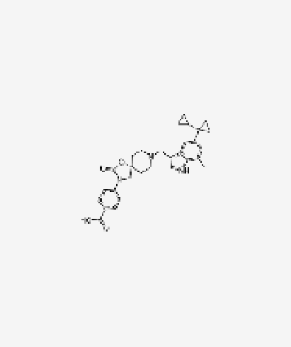 Cc1cc(C2(C3CC3)CC2)cc2c(CN3CCC4(CC3)CN(c3ccc(C(=O)O)cc3)C(=O)O4)c[nH]c12